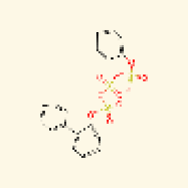 O=S(=O)(Oc1ccccc1)OS(=O)(=O)OS(=O)(=O)Oc1ccccc1-c1ccccc1